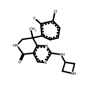 CC1(c2cccc(Cl)c2F)CNC(=O)c2cnc(NC3CNC3)nc21